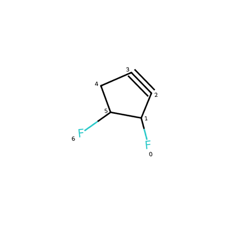 FC1C#CCC1F